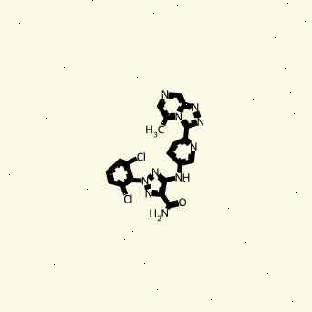 Cc1cncc2nnc(-c3ccc(Nc4nn(-c5c(Cl)cccc5Cl)nc4C(N)=O)cn3)n12